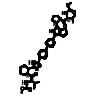 COC(=O)N[C@H](C(=O)N1CCC[C@H]1c1[nH]c(-c2ccc(-c3ccc(-c4cnc(C5CCCC[C@@H]5C(=O)N(NC(=O)OC)C(C)C)[nH]4)cc3)cc2)c2c1CCC2)C(C)C